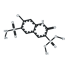 CCOP(=O)(OCC)c1cc2cc(S(=O)(=O)NC(C)C)c(Cl)cc2[nH]c1=O